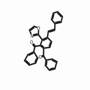 O=C(c1ccccc1)c1ccc(C=Cc2ccccc2)c(-c2ncco2)c1C(=O)c1ccccc1